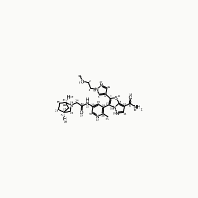 COCCn1cc(-c2sc3c(C(N)=O)cnn3c2-c2cc(NC(=O)CN3C[C@H]4CC[C@@H]3C4)cnc2C)cn1